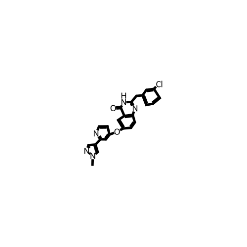 Cn1cc(-c2cc(Oc3ccc4nc(Cc5cccc(Cl)c5)[nH]c(=O)c4c3)ccn2)cn1